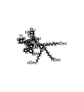 CCCCCCCCCCCCCCCCCCOc1cc(C(=O)OCC(=O)O[C@]2(O)C[C@H](n3cc(C)c(=O)[nH]c3=O)O[C@@H]2COP(=S)(OCCC#N)[C@]2(O)C[C@H](n3cc(C)c(=O)[nH]c3=O)O[C@@H]2COC(c2ccccc2)(c2ccc(OC)cc2)c2ccc(OC)cc2)cc(OCCCCCCCCCCCCCCCCCC)c1OCCCCCCCCCCCCCCCCCC